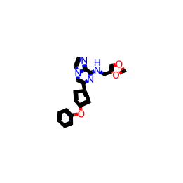 C1=C(CNc2nc(-c3ccc(Oc4ccccc4)cc3)cn3ccnc23)OCO1